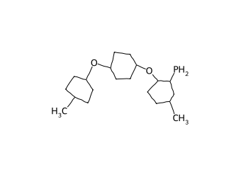 CC1CCC(OC2CCC(OC3CCC(C)CC3P)CC2)CC1